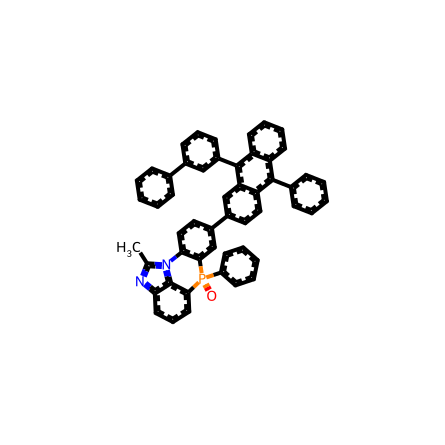 Cc1nc2cccc3c2n1-c1ccc(-c2ccc4c(-c5ccccc5)c5ccccc5c(-c5cccc(-c6ccccc6)c5)c4c2)cc1P3(=O)c1ccccc1